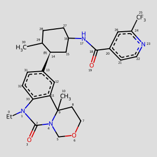 CCN1C(=O)N2COCCC2(C)c2cc([C@@H]3CC(NC(=O)c4ccnc(C(F)(F)F)c4)CCC3C)ccc21